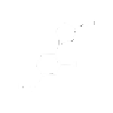 CCOC(=O)c1ccc(N2CC[C@@H](O)C2)c(Cl)c1